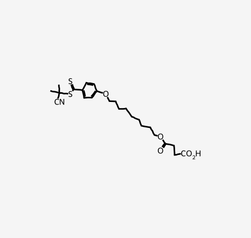 CC(C)(C#N)SC(=S)c1ccc(OCCCCCCCCCOC(=O)CCC(=O)O)cc1